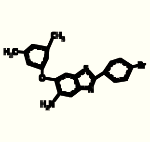 Cc1cc(C)cc(Oc2cc3sc(-c4ccc(Br)cc4)nc3cc2N)c1